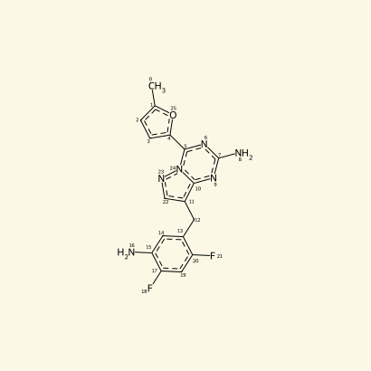 Cc1ccc(-c2nc(N)nc3c(Cc4cc(N)c(F)cc4F)cnn23)o1